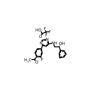 CC(=O)c1ccc(-c2cc(NC[C@H](O)c3ccccc3)ncn2)cc1F.O=C(O)C(F)(F)F